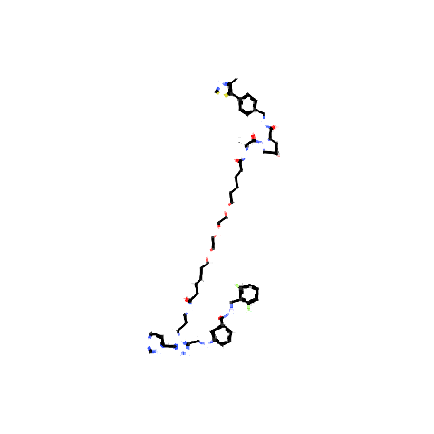 Cc1ncsc1-c1ccc(CNC(=O)C2C[C@@H](O)CN2C(=O)[C@@H](NC(=O)CCCCCOCCOCCOCCCCCC(=O)NCCCn2c(CNc3cccc(C(=O)NCc4c(F)cccc4F)c3)nnc2-c2ccncn2)C(C)(C)C)cc1